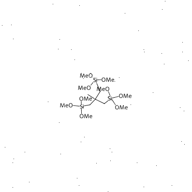 CO[Si](CC(C)(C[Si](OC)(OC)OC)C[Si](OC)(OC)OC)(OC)OC